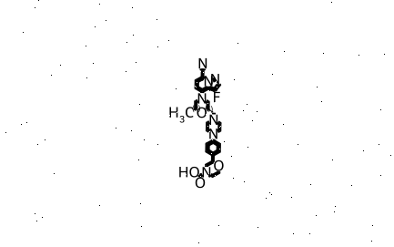 C[C@@H]1CN(c2ccc(C#N)n3ncc(F)c23)C[C@H](CN2CCN(c3ccc(C4CN(C(=O)O)CCO4)cc3)CC2)O1